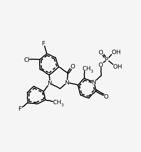 Cc1cc(F)ccc1N1CN(c2ccc(=O)n(COP(=O)(O)O)c2C)C(=O)c2cc(F)c(Cl)cc21